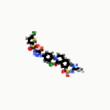 CC1=NS(=O)(=O)c2cc3c(=O)n(-c4ccc(NC(=O)NS(=O)(=O)c5ccc(Cl)s5)cc4Cl)ccc3cc2N1